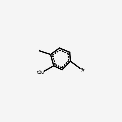 Cc1ccc(Br)cc1C(C)(C)C